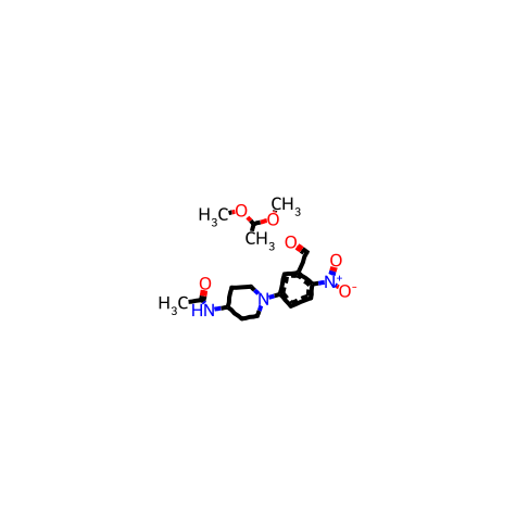 CC(=O)NC1CCN(c2ccc([N+](=O)[O-])c(C=O)c2)CC1.COC(C)OC